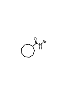 O=C(NBr)C1CCCCCCCC1